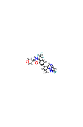 CN(C(=O)C1CCOCC1)[C@@H](c1ccc([C@@H]2CC(C)(C)c3c2cnc2cc(F)nn32)cc1)C(F)(F)F